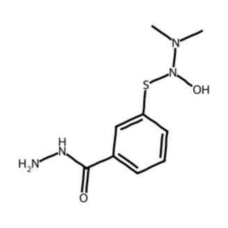 CN(C)N(O)Sc1cccc(C(=O)NN)c1